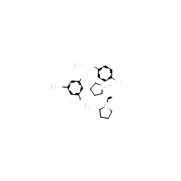 CCCc1cc(O)cc(C)c1[C@@H]1CN[C@H](C(=O)N2CCC[C@H]2C#N)C1.Cc1ccc(S(=O)(=O)O)cc1